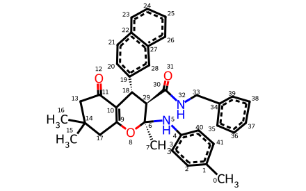 Cc1ccc(N[C@@]2(C)OC3=C(C(=O)CC(C)(C)C3)[C@H](c3ccc4ccccc4c3)[C@H]2C(=O)NCc2ccccc2)cc1